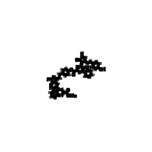 COC(=O)C(Cc1c(C=C2C(=O)NN=C2CCc2ccc(OC(=O)C(N)Cc3c(C=C4C(=O)NN=C4CCc4ccc(O)cc4)[nH]c4ccccc34)cc2)[nH]c2ccccc12)NC(C)=O